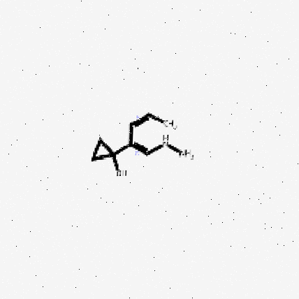 C/C=C\C(=C/NN)C1(O)CC1